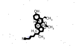 CC[C@@H]1C2C[C@H](O)CCC2(C)[C@H]2CCC3(C)C([C@H](C)CC/C=C/C#N)CC[C@H]3[C@@H]2[C@@H]1OC(C)=O